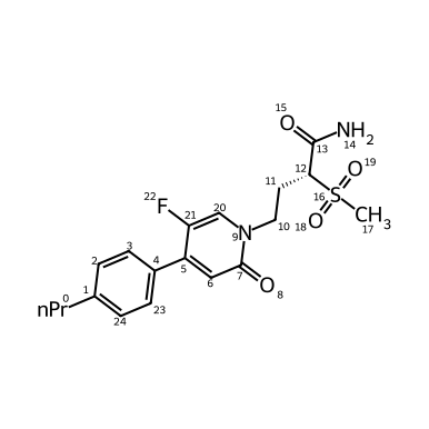 CCCc1ccc(-c2cc(=O)n(CC[C@H](C(N)=O)S(C)(=O)=O)cc2F)cc1